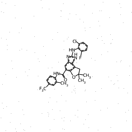 Cc1cc(C(F)(F)F)ccc1NC(=O)c1cc2nc(Nc3c(F)cccc3Cl)[nH]c2c2c1OC(C)(C)C2